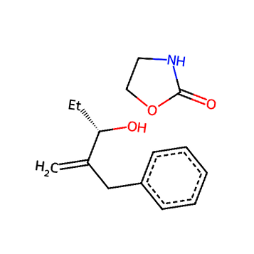 C=C(Cc1ccccc1)[C@@H](O)CC.O=C1NCCO1